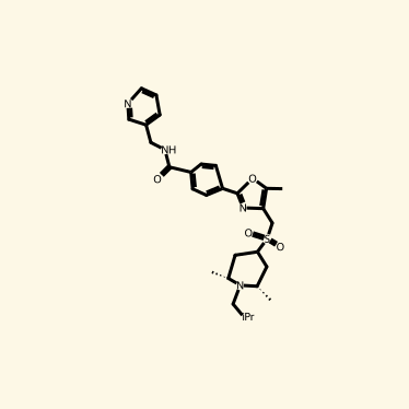 Cc1oc(-c2ccc(C(=O)NCc3cccnc3)cc2)nc1CS(=O)(=O)C1C[C@@H](C)N(CC(C)C)[C@@H](C)C1